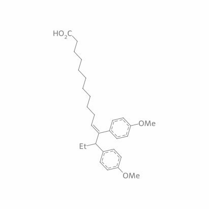 CCC(/C(=C/CCCCCCCCCC(=O)O)c1ccc(OC)cc1)c1ccc(OC)cc1